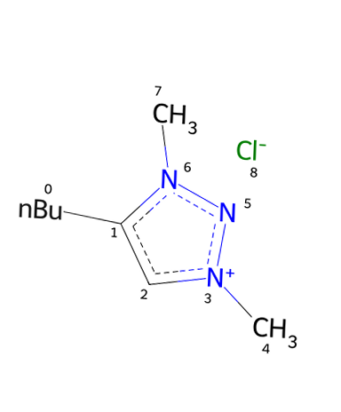 CCCCc1c[n+](C)nn1C.[Cl-]